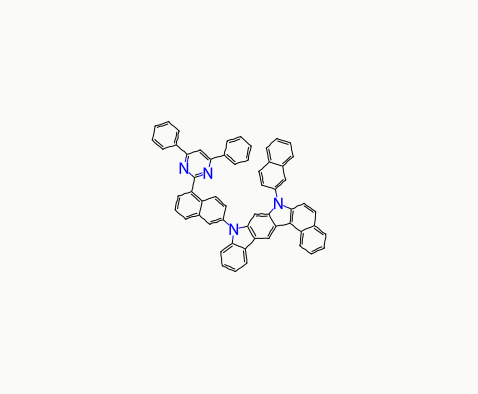 c1ccc(-c2cc(-c3ccccc3)nc(-c3cccc4cc(-n5c6ccccc6c6cc7c8c9ccccc9ccc8n(-c8ccc9ccccc9c8)c7cc65)ccc34)n2)cc1